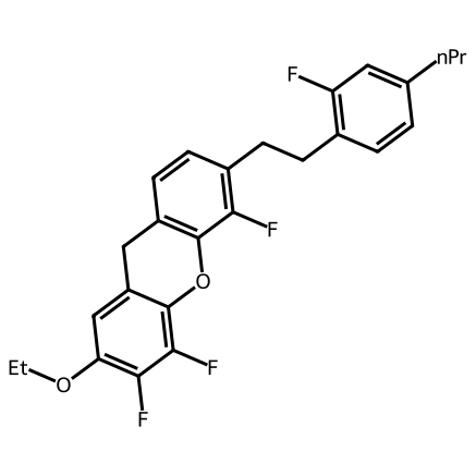 CCCc1ccc(CCc2ccc3c(c2F)Oc2c(cc(OCC)c(F)c2F)C3)c(F)c1